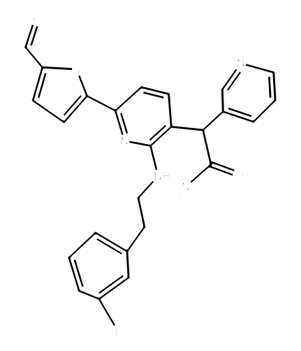 NC(=O)C(c1cccnc1)c1ccc(-c2ccc(C=O)s2)nc1NCCc1cccc(F)c1